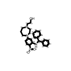 O=[N+]([O-])c1ccc(N2CCCN(CCO)CC2)cc1NC(c1ccccc1)c1ccccc1